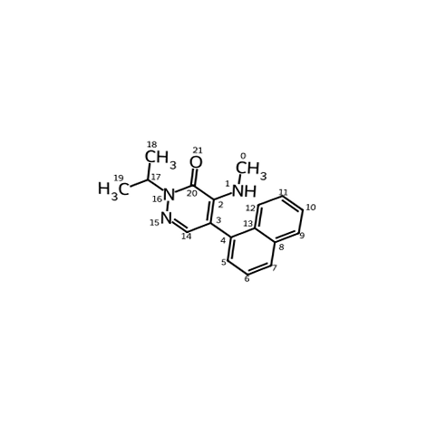 CNc1c(-c2cccc3ccccc23)cnn(C(C)C)c1=O